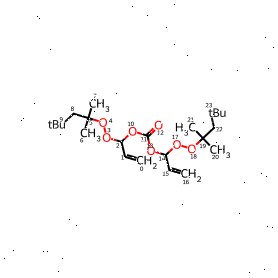 C=CC(OOC(C)(C)CC(C)(C)C)OC(=O)OC(C=C)OOC(C)(C)CC(C)(C)C